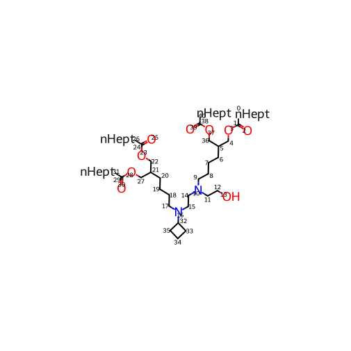 CCCCCCCC(=O)OCC(CCCCN(CCO)CCN(CCCCC(COC(=O)CCCCCCC)COC(=O)CCCCCCC)C1CCC1)COC(=O)CCCCCCC